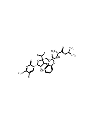 CC(C)OC(=O)[C@H](C)NP(=S)(OC[C@@]1(C(F)F)O[C@@H](n2cc(Cl)c(N)nc2=O)[C@H](O)[C@H]1O)Oc1ccccc1